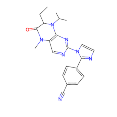 CCC1C(=O)N(C)c2cnc(-n3ccnc3-c3ccc(C#N)cc3)nc2N1C(C)C